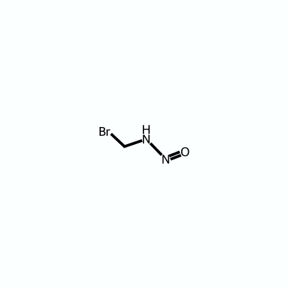 O=NNCBr